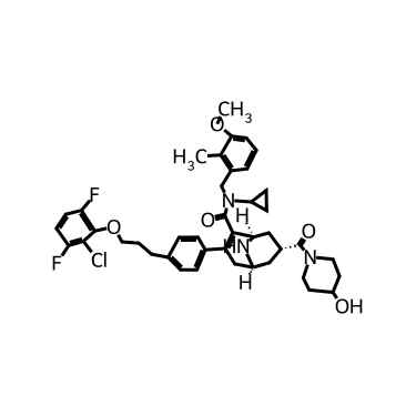 COc1cccc(CN(C(=O)C2=C(c3ccc(CCCOc4c(F)ccc(F)c4Cl)cc3)C[C@@H]3C[C@@H](C(=O)N4CCC(O)CC4)C[C@H]2N3)C2CC2)c1C